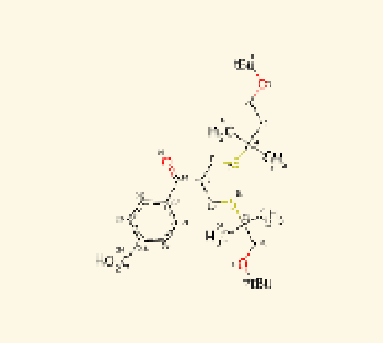 CC(C)(C)OCCC(C)(C)SCC(CSC(C)(C)COC(C)(C)C)C(=O)c1ccc(C(=O)O)cc1